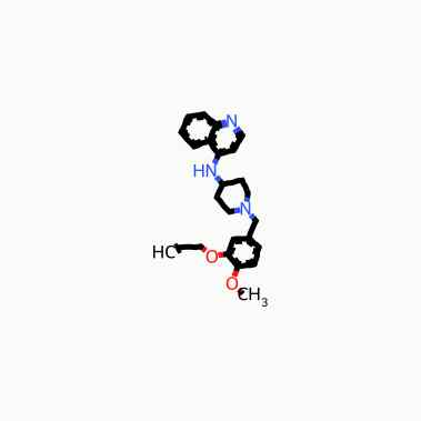 C#CCOc1cc(CN2CCC(Nc3ccnc4ccccc34)CC2)ccc1OC